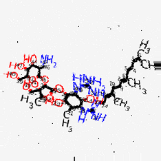 CC(C)=CCC/C(C)=C/CC/C(C)=C/C=NC(=N)NC1C(C)C(O)C(OC2OC(C)C(O)(C=O)C2OC2OC(CO)C(O)C(O)C2CN)C(NC(=N)N)C1O